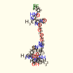 Cc1ncc(NC(=O)c2cccc(C(F)(F)F)c2)cc1-c1cnc(OCCOCCOCCOCc2cn(CCCCCC(=O)N[C@@H](C(=O)N3C[C@H](O)CC3C(=O)N[C@@H](C)c3ccc(-c4scnc4C)cc3)C(C)(C)C)nn2)c(N2CCOCC2)c1